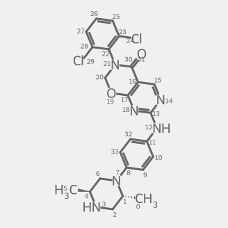 C[C@@H]1CN[C@@H](C)CN1c1ccc(Nc2ncc3c(n2)OCN(c2c(Cl)cccc2Cl)C3=O)cc1